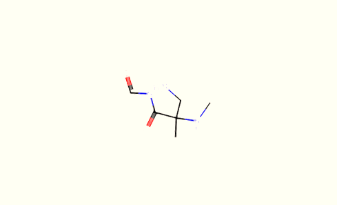 CNC(C)(CN)C(=O)NC=O